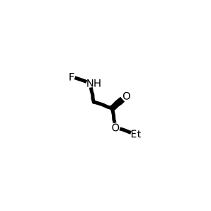 CCOC(=O)CNF